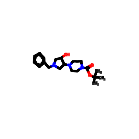 CC(C)(C)OC(=O)N1CCN(C2CN(Cc3ccccc3)C[C@H]2O)CC1